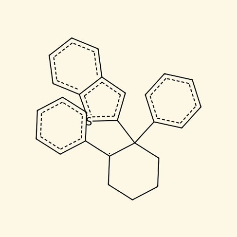 c1ccc([C]2CCCCC2(c2ccccc2)c2cc3ccccc3s2)cc1